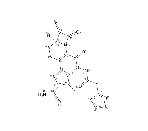 Cc1sc(C2=C(C(=O)ONC(=O)Cc3cccs3)N3C(=O)C(=S)[C@@H]3SC2)nc1C(N)=O